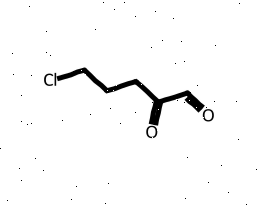 O=CC(=O)CCCCl